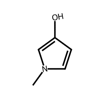 Cn1ccc(O)c1